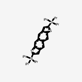 CC(C)[Si](c1cc2cc3cc4sc([Si](C(C)C)(C(C)C)C(C)C)cc4cc3cc2s1)(C(C)C)C(C)C